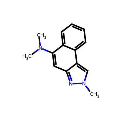 CN(C)c1cc2nn(C)cc2c2ccccc12